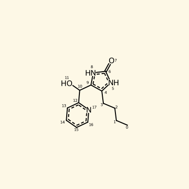 CCCCc1[nH]c(=O)[nH]c1C(O)c1ccccn1